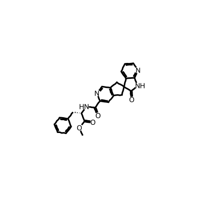 COC(=O)[C@H](Cc1ccccc1)NC(=O)c1cc2c(cn1)CC1(C2)C(=O)Nc2ncccc21